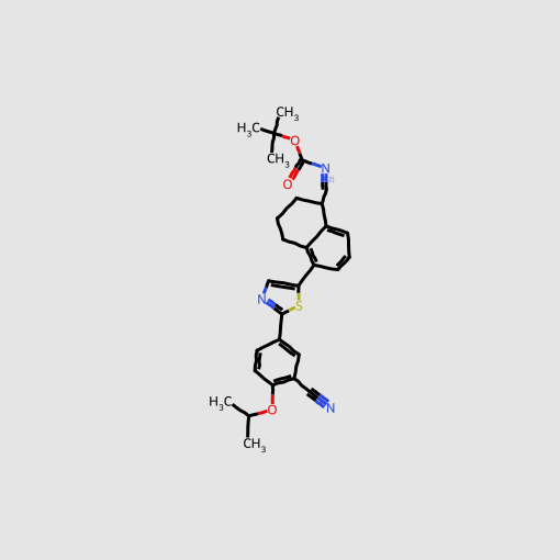 CC(C)Oc1ccc(-c2ncc(-c3cccc4c3CCCC4/C=N\C(=O)OC(C)(C)C)s2)cc1C#N